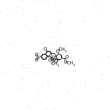 COC(=O)C1=CC(OC)C(Cc2cc(=O)c3cc([N+](=O)[O-])ccc3n2C)(OS(C)(=O)=O)C=C1